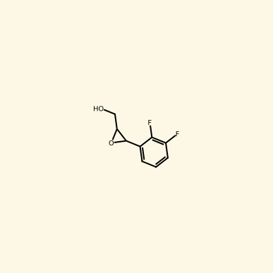 OCC1OC1c1cccc(F)c1F